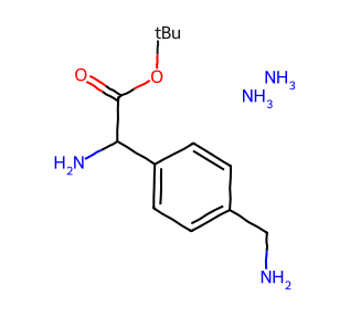 CC(C)(C)OC(=O)C(N)c1ccc(CN)cc1.N.N